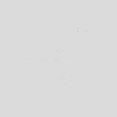 CCC(Cc1ccccc1-c1cc2c(cc1C)C(C)(C)c1ccccc1-2)c1nc(-c2ccc(-c3ccccc3)cc2)nc(-c2ccc3c(c2)oc2ccccc23)n1